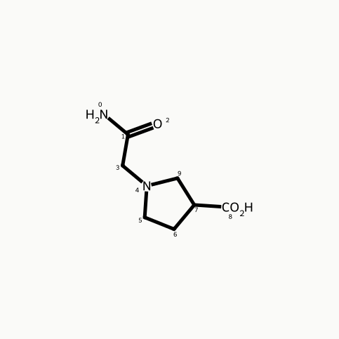 NC(=O)CN1CCC(C(=O)O)C1